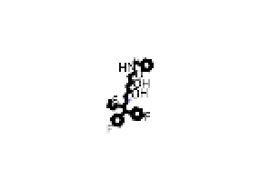 C[C@@H](NC(=O)CC(O)CC(O)/C=C/C(=C(c1ccc(F)cc1)c1ccc(F)cc1)c1cccs1)c1ccccc1